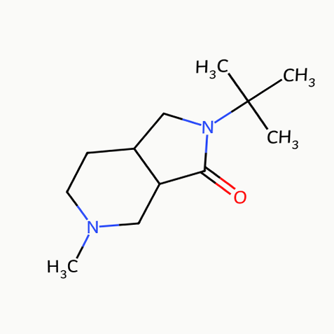 CN1CCC2CN(C(C)(C)C)C(=O)C2C1